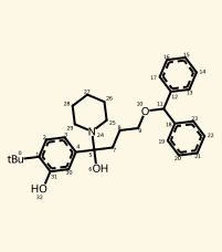 CC(C)(C)c1ccc(C(O)(CCCOC(c2ccccc2)c2ccccc2)N2CCCCC2)cc1O